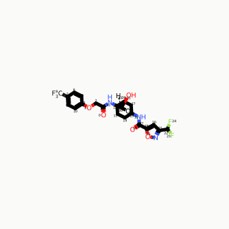 O=C(COc1ccc(C(F)(F)F)cc1)NC12CCC(NC(=O)c3cc(C(F)F)no3)(CC1)C[C@@H]2O